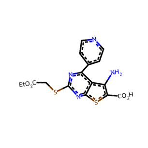 CCOC(=O)CSc1nc(-c2ccncc2)c2c(N)c(C(=O)O)sc2n1